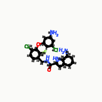 Nc1cc(Cl)cc(Oc2c(Cl)ccc(CNC(=O)c3cc4cccc(N)c4[nH]3)c2F)c1